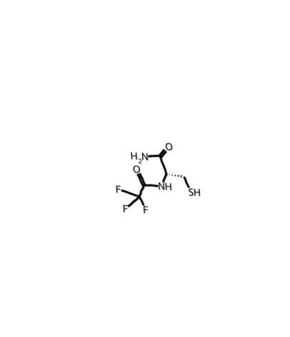 NC(=O)[C@H](CS)NC(=O)C(F)(F)F